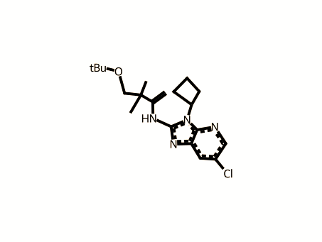 C=C(Nc1nc2cc(Cl)cnc2n1C1CCC1)C(C)(C)COC(C)(C)C